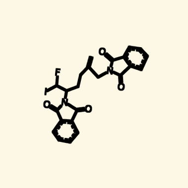 C=C(CCC(C(F)I)N1C(=O)c2ccccc2C1=O)CN1C(=O)c2ccccc2C1=O